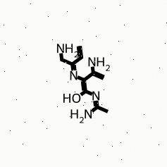 C=C\C(CN)=N/C(C(=C)N)=C(O)/N=C(/C)N